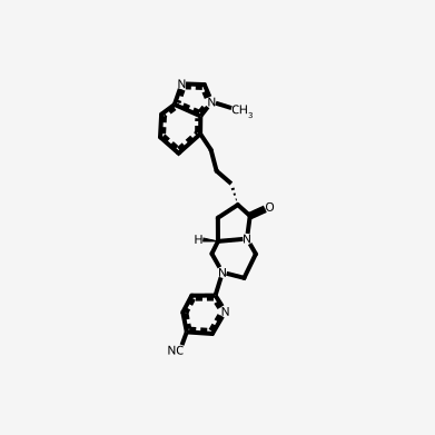 Cn1cnc2cccc(CCC[C@H]3C[C@H]4CN(c5ccc(C#N)cn5)CCN4C3=O)c21